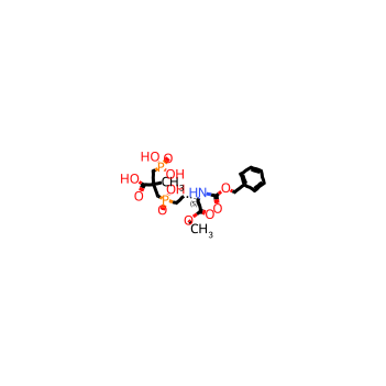 COC(=O)[C@H](CCP(=O)(O)CC(C)(CP(=O)(O)O)C(=O)O)NC(=O)OCc1ccccc1